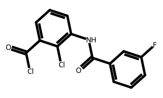 O=C(Nc1cccc(C(=O)Cl)c1Cl)c1cccc(F)c1